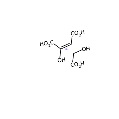 O=C(O)/C=C(/O)C(=O)O.O=C(O)CO